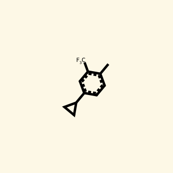 Cc1ccc(C2CC2)cc1C(F)(F)F